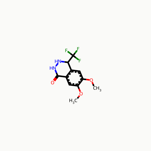 COc1cc2c(cc1OC)C(C(F)(F)F)NNC2=O